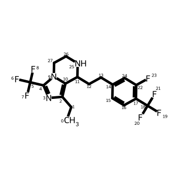 CCc1nc(C(F)(F)F)n2c1C(CCc1ccc(C(F)(F)F)c(F)c1)NCC2